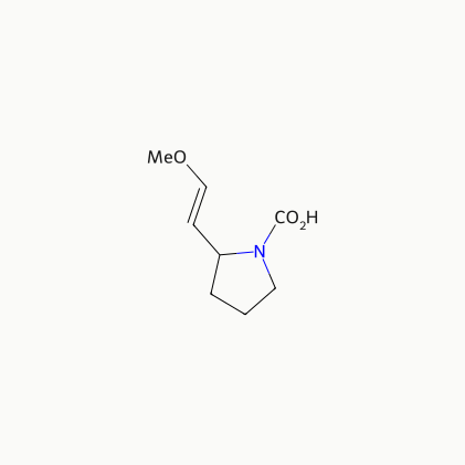 COC=CC1CCCN1C(=O)O